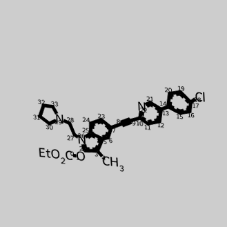 CCOC(=O)Oc1c(C)c2cc(C#Cc3ccc(-c4ccc(Cl)cc4)cn3)ccc2n1CCN1CCCC1